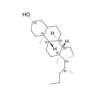 CCC[C@@H](C)[C@H]1CC[C@H]2[C@@H]3CCC4C[C@@H](O)CC[C@]4(C)[C@H]3CC[C@]12C